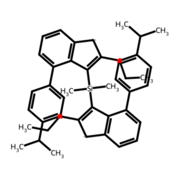 CCCC1=C([Si](C)(C)C2=C(CCC)[CH]c3cccc(-c4ccc(C(C)C)cc4)c32)c2c(cccc2-c2ccc(C(C)C)cc2)[CH]1